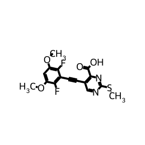 COc1cc(OC)c(F)c(C#Cc2cnc(SC)nc2C(=O)O)c1F